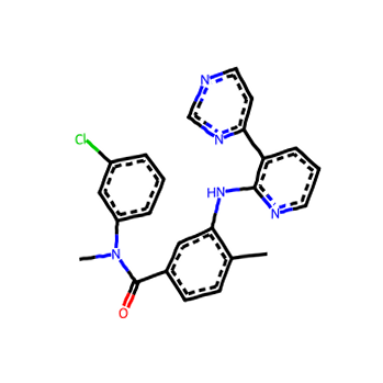 Cc1ccc(C(=O)N(C)c2cccc(Cl)c2)cc1Nc1ncccc1-c1ccncn1